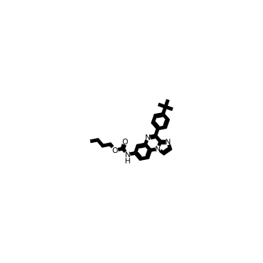 CCCCOC(=O)Nc1ccc2c(c1)nc(-c1ccc(C(C)(C)C)cc1)c1nccn12